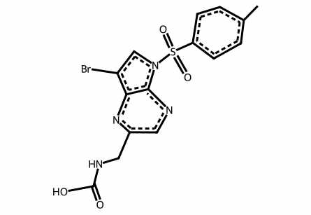 Cc1ccc(S(=O)(=O)n2cc(Br)c3nc(CNC(=O)O)cnc32)cc1